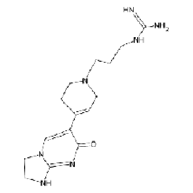 N=C(N)NCCCN1CC=C(c2cn3c(nc2=O)NCC3)CC1